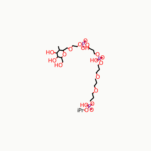 CC(C)OP(=O)(O)OCCCOCCCOCCCOP(=O)(O)OCCCOP(=O)(O)OCCOCC1OC(CO)C(O)C(O)C1C